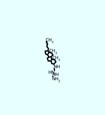 CSCCCC1CCC2C3CCC4CC(NCCNNCN)CCC4(C)C3CCC12C